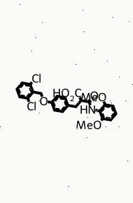 COc1cccc(OC)c1NC(=O)C(Cc1ccc(OCc2c(Cl)cccc2Cl)cc1)C(=O)O